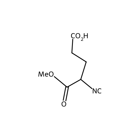 [C-]#[N+]C(CCC(=O)O)C(=O)OC